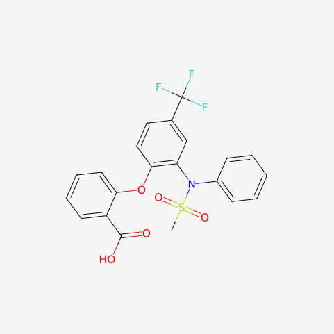 CS(=O)(=O)N(c1ccccc1)c1cc(C(F)(F)F)ccc1Oc1ccccc1C(=O)O